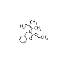 CCOC(=O)N(Cc1ccccc1)C(C)=C(C)C